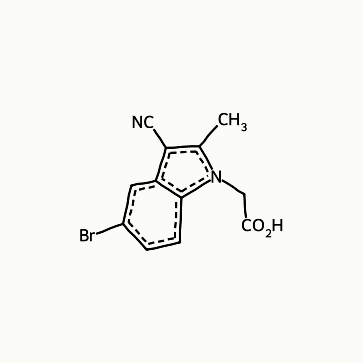 Cc1c(C#N)c2cc(Br)ccc2n1CC(=O)O